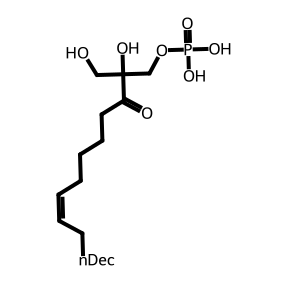 CCCCCCCCCCC/C=C\CCCCC(=O)C(O)(CO)COP(=O)(O)O